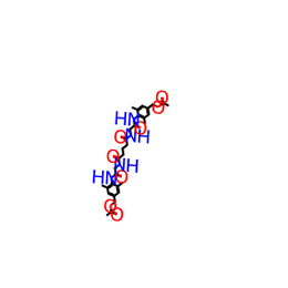 CC(=O)OCc1cc(C)c(NC(=O)CNC(=O)CCCC(=O)NCC(=O)Nc2c(C)cc(COC(C)=O)cc2C)c(C)c1